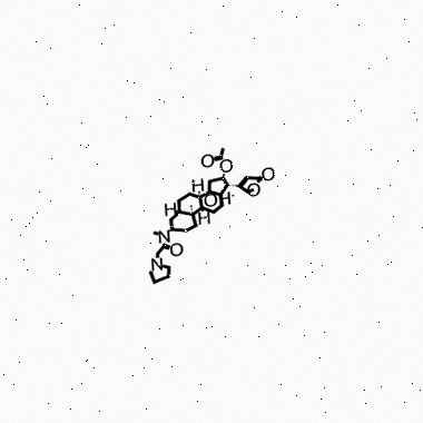 CC(=O)O[C@H]1C[C@]2(O)[C@@H]3CC[C@@H]4C[C@@H](N(C)C(=O)CN5CCCC5)CC[C@]4(C)[C@H]3CC[C@]2(C)[C@H]1C1=CC(=O)OC1